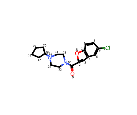 O=C(c1cc2cc(Cl)ccc2o1)N1CCN(C2CCCC2)CC1